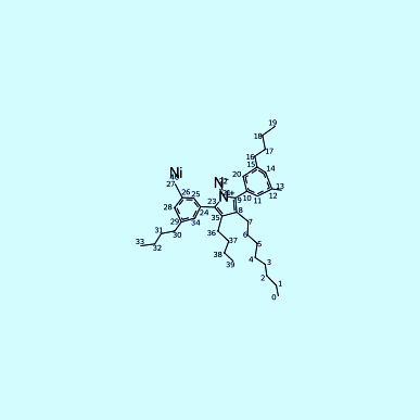 CCCCCCCCC1=C(c2cc(C)cc(CCCC)c2)[N+](=[N-])C(c2cc(C)cc(CCCC)c2)=C1CCCC.[Ni]